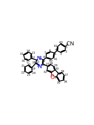 N#Cc1ccc(-c2ccc(-c3nc(-c4ccccc4)c(-c4ccccc4)nc3-c3ccc4c(c3)oc3ccccc34)cc2)cc1